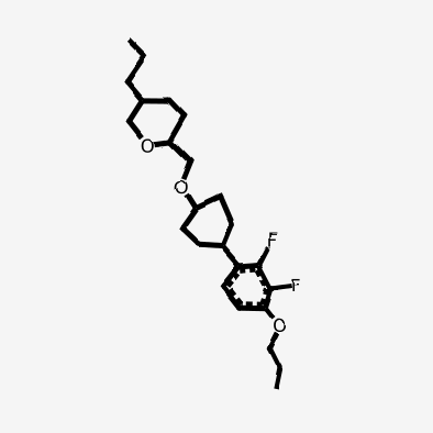 CCCOc1ccc(C2CCC(OCC3CCC(CCC)CO3)CC2)c(F)c1F